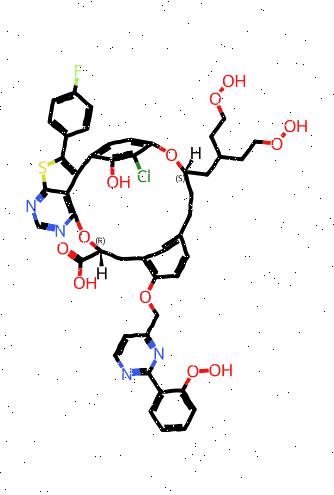 O=C(O)[C@H]1Cc2cc(ccc2OCc2ccnc(-c3ccccc3OO)n2)CC[C@@H](CC(CCOO)CCOO)Oc2ccc(c(O)c2Cl)-c2c(-c3ccc(F)cc3)sc3ncnc(c23)O1